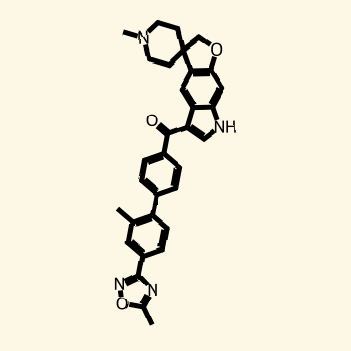 Cc1nc(-c2ccc(-c3ccc(C(=O)c4c[nH]c5cc6c(cc45)C4(CCN(C)CC4)CO6)cc3)c(C)c2)no1